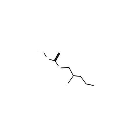 CCCC(Br)CNC(=O)OC